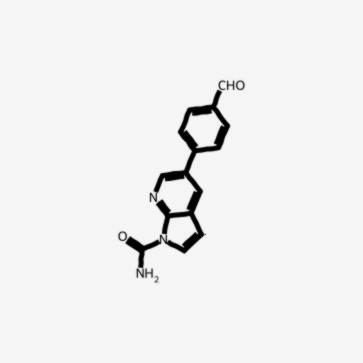 NC(=O)n1c[c]c2cc(-c3ccc(C=O)cc3)cnc21